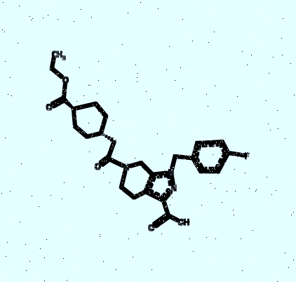 CCOC(=O)[C@H]1CC[C@H](CC(=O)N2CCc3c(C(=O)O)nn(Cc4ccc(F)cc4)c3C2)CC1